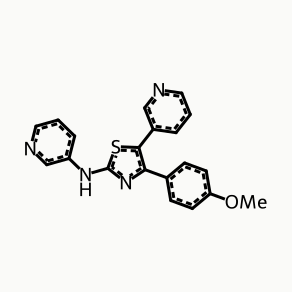 COc1ccc(-c2nc(Nc3cccnc3)sc2-c2cccnc2)cc1